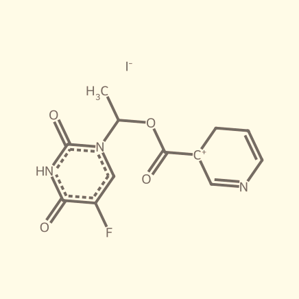 CC(OC(=O)[C+]1C=NC=CC1)n1cc(F)c(=O)[nH]c1=O.[I-]